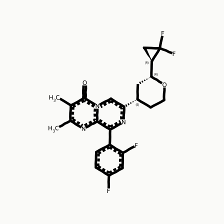 Cc1nc2c(-c3ccc(F)cc3F)nc([C@H]3CCO[C@@H]([C@H]4CC4(F)F)C3)cn2c(=O)c1C